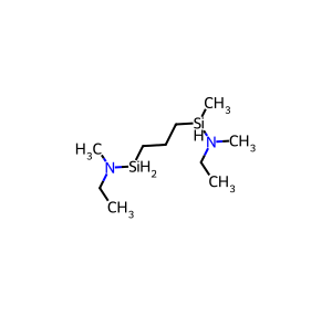 CCN(C)[SiH2]CCC[SiH](C)N(C)CC